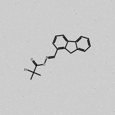 CCC(C)(C)C(=O)O/N=C/c1cccc2c1Cc1ccccc1-2